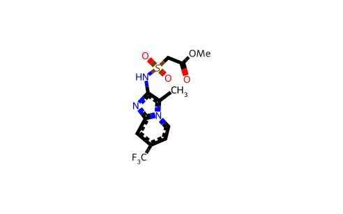 COC(=O)CS(=O)(=O)Nc1nc2cc(C(F)(F)F)ccn2c1C